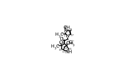 Cc1n(CC(=O)C2C(C)(C)CC3CC2(C)CN3)cc[n+]1C.[Cl-]